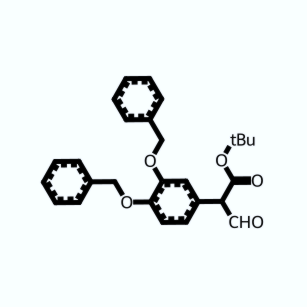 CC(C)(C)OC(=O)C(C=O)c1ccc(OCc2ccccc2)c(OCc2ccccc2)c1